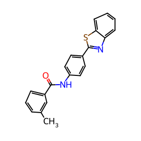 Cc1cccc(C(=O)Nc2ccc(-c3nc4ccccc4s3)cc2)c1